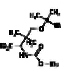 CC(C)(C)OC(=O)NC(C(=O)O)C(C)(C)CO[Si](C)(C)C(C)(C)C